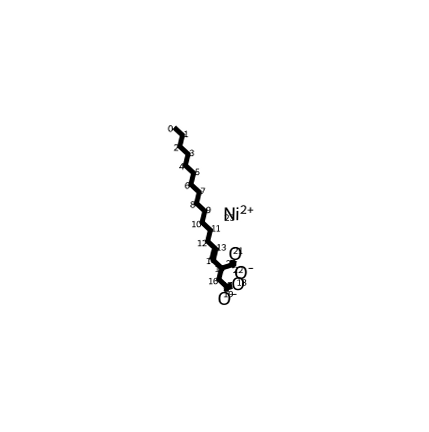 CCCCCCCCCCCCCC=CC(CC(=O)[O-])C(=O)[O-].[Ni+2]